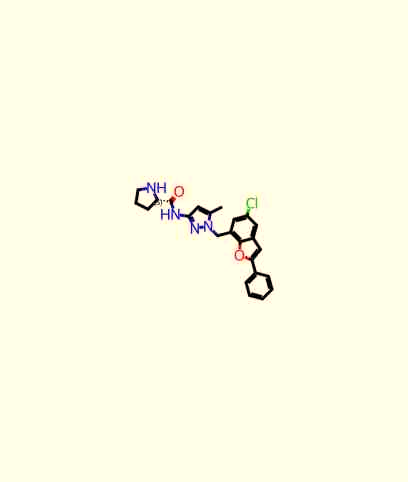 Cc1cc(NC(=O)[C@@H]2CCCN2)nn1Cc1cc(Cl)cc2cc(-c3ccccc3)oc12